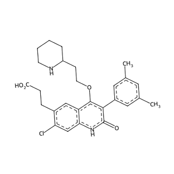 Cc1cc(C)cc(-c2c(OCCC3CCCCN3)c3cc(CCC(=O)O)c(Cl)cc3[nH]c2=O)c1